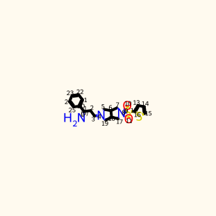 N[C@@H](CCN1CC2CN(S(=O)(=O)c3cccs3)CC2C1)c1ccccc1